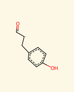 O=C[CH]Cc1ccc(O)cc1